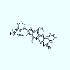 CC#CCn1c(N2CCCC(N)C2)nc2c1c(=O)n(Cc1nc(CC)c3ccccc3n1)c(=O)n2C